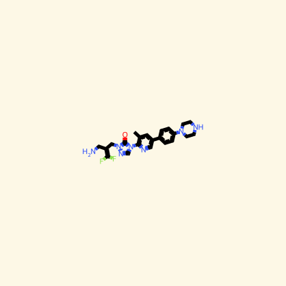 Cc1cc(-c2ccc(N3CCNCC3)cc2)cnc1-n1cnn(CC(CN)=C(F)F)c1=O